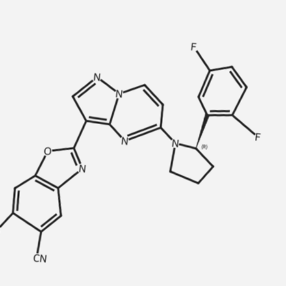 N#Cc1cc2nc(-c3cnn4ccc(N5CCC[C@@H]5c5cc(F)ccc5F)nc34)oc2cc1O